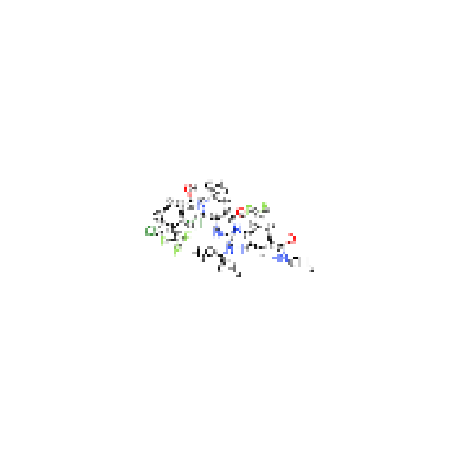 CNC(=O)c1ccc(-n2c(NC(C)C)nc3c(c2=O)C[C@@H](C)N(C(=O)c2ccc(Cl)c(C(F)(F)F)c2Cl)C3)c(C(F)F)c1